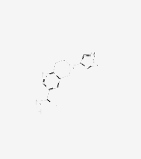 Cn1cc(N2CCc3ncc(C(=O)NO)cc3C2)cn1